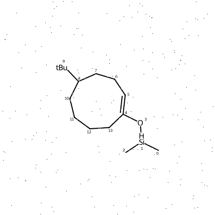 C[SiH](C)O/C1=C/CCC(C(C)(C)C)CCCC1